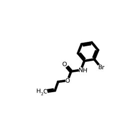 C=CCOC(=O)Nc1ccccc1Br